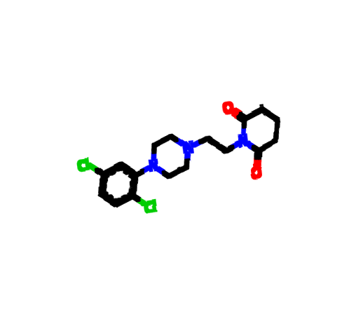 O=C1[CH]CCC(=O)N1CCN1CCN(c2cc(Cl)ccc2Cl)CC1